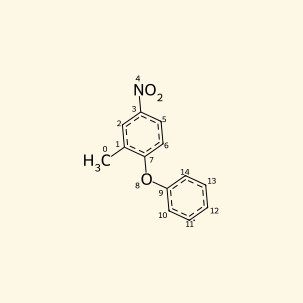 Cc1cc([N+](=O)[O-])ccc1Oc1c[c]ccc1